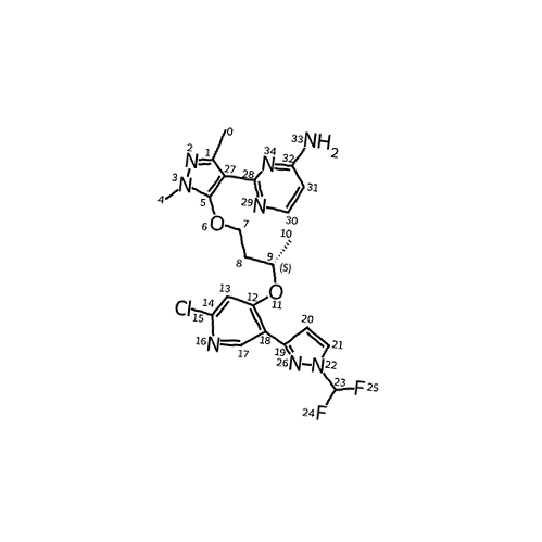 Cc1nn(C)c(OCC[C@H](C)Oc2cc(Cl)ncc2-c2ccn(C(F)F)n2)c1-c1nccc(N)n1